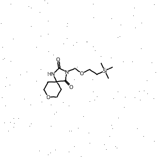 C[Si](C)(C)CCOCN1C(=O)NC2(CCOCC2)C1=O